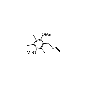 C=CCCc1c(C)c(OC)c(C)c(C)c1OC